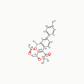 CCc1cc(-c2ccc(F)cc2)ccc1C1=C(OC(C)=O)C(C)OC(C)(C)C1=O